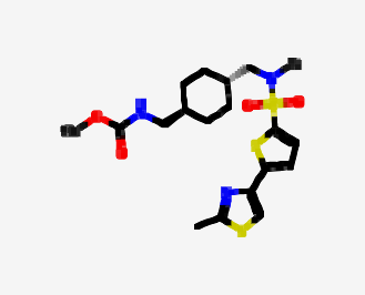 CCN(C[C@H]1CC[C@H](CNC(=O)OC(C)(C)C)CC1)S(=O)(=O)c1ccc(-c2csc(C)n2)s1